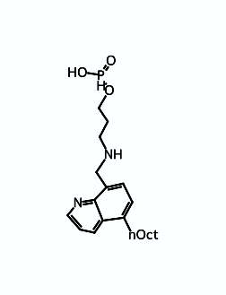 CCCCCCCCc1ccc(CNCCCO[PH](=O)O)c2ncccc12